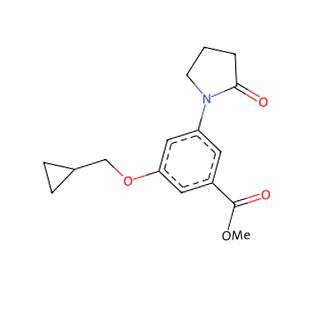 COC(=O)c1cc(OCC2CC2)cc(N2CCCC2=O)c1